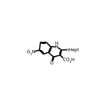 CCCCCCCc1[nH]c2ccc([N+](=O)[O-])cc2c(=O)c1C(=O)O